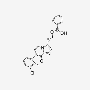 Cc1c(Cl)cccc1-n1ccn2c(SCOB(O)c3ccccc3)nnc2c1=O